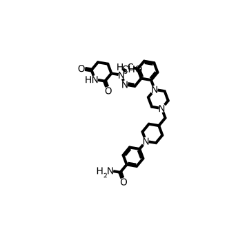 Cc1cccc(N2CCN(CC3CCN(c4ccc(C(N)=O)cc4)CC3)CC2)c1/C=N\N(C=O)C1CCC(=O)NC1=O